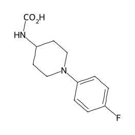 O=C(O)NC1CCN(c2ccc(F)cc2)CC1